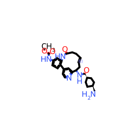 COC(=O)Nc1ccc2c(c1)NC(=O)CC/C=C/CC(NC(=O)[C@H]1CC[C@H](CN)CC1)c1cc-2ccn1